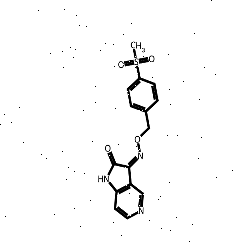 CS(=O)(=O)c1ccc(CON=C2C(=O)Nc3ccncc32)cc1